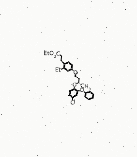 CCOC(=O)CCc1ccc(OCC[C@H](C)Oc2ccc(Cl)cc2Oc2ccccc2)cc1CC